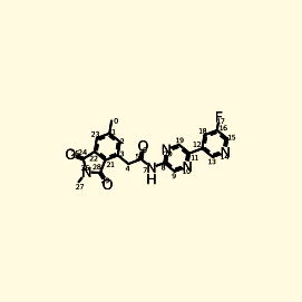 Cc1cc(CC(=O)Nc2cnc(-c3cncc(F)c3)cn2)c2c(c1)C(=O)N(C)C2=O